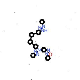 Cn1/c(=N\c2ccccc2)[nH]c2ccc(-c3cccc(-c4cccc(-c5ccc6c(c5)n5c7ccccc7nc5n6-c5ccc6nc7oc8ccccc8n7c6c5)c4)c3)cc21